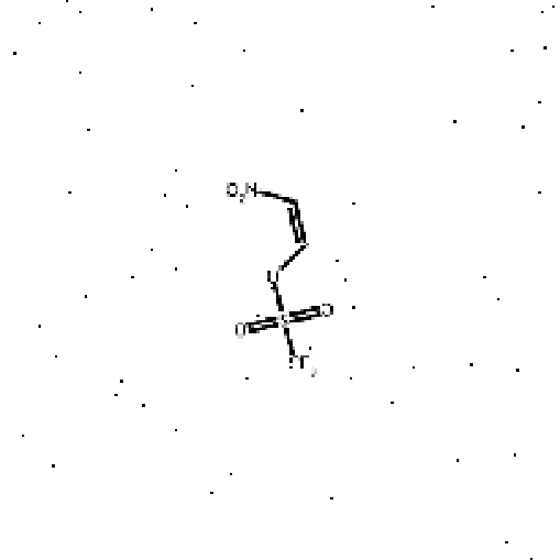 O=[N+]([O-])/C=C\OS(=O)(=O)C(F)(F)F